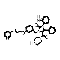 Nc1ccccc1-n1c(-c2ccccc2)c(C(=O)N2CCNCC2)n(Cc2cccc(OCCOc3cccnc3)c2)c1=O